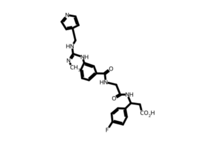 CN=C(NCc1ccncc1)Nc1cccc(C(=O)NCC(=O)NC(CC(=O)O)c2ccc(F)cc2)c1